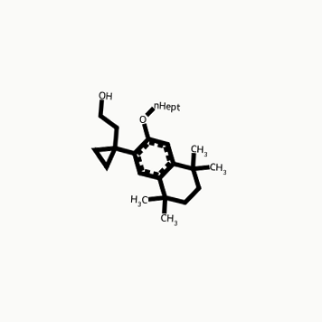 CCCCCCCOc1cc2c(cc1C1(CCO)CC1)C(C)(C)CCC2(C)C